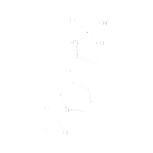 CC(C)(C)NC(=O)O[C@@H]1CCCN(S(=O)(=O)Cl)C1